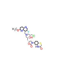 COc1ccc2ncc(F)c(CN(CCC[C@@H]3CN(c4ccc5c(c4)NC(=O)CS5)C(=O)O3)C[C@@H](O)CCl)c2n1